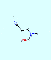 CN(C=O)CCC#N